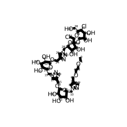 CCOCCOCc1cn(C[C@H]2O[C@H](OCc3cn(C[C@H]4O[C@H](OCc5cn(C[C@H]6OC(CCl)(O[C@H]7O[C@H](CO)[C@H](Cl)[C@H](O)C7O)[C@@H](O)[C@@H]6O)nn5)[C@@H](O)[C@@H](O)[C@@H]4O)nn3)[C@@H](O)[C@@H](O)[C@@H]2O)nn1